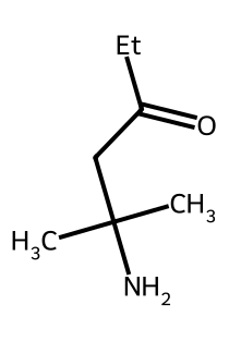 CCC(=O)CC(C)(C)N